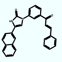 O=C(C=Cc1ccccc1)c1cccc(-n2cc(-c3ccc4ccccc4c3)[nH]c2=O)c1